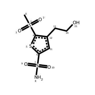 CS(=O)(=O)c1sc(S(N)(=O)=O)cc1CCO